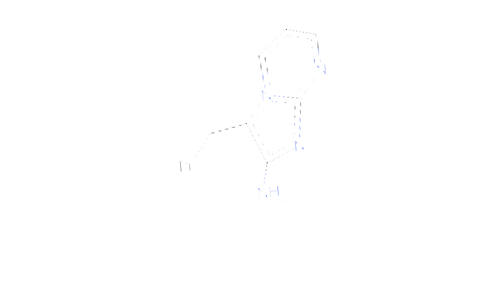 CC(C)Cc1c(N)nc2ncccn12